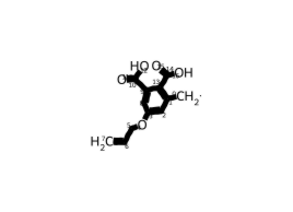 [CH2]c1cc(OCC=C)cc(C(=O)O)c1C(=O)O